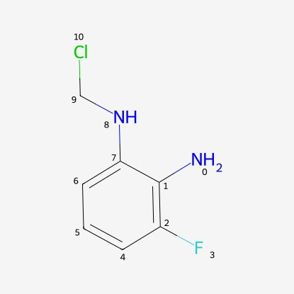 Nc1c(F)cccc1NCCl